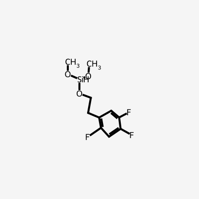 CO[SiH](OC)OCCc1cc(F)c(F)cc1F